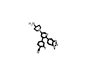 Cn1nnc2cc(-c3ncc(N4CCC(N)CC4)cc3-c3ccc(C#N)c(F)c3)ccc21